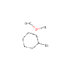 CCC1CCCCC1.CCOC=O